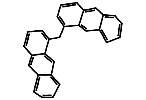 [C](c1cccc2cc3ccccc3cc12)c1cccc2cc3ccccc3cc12